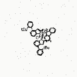 CCCC1=Cc2c(-c3ccccc3C(C)(C)C)cccc2[CH]1[Hf]([Cl])([Cl])([c]1cccc2c1[SiH2]c1ccccc1-2)[CH]1C(CCC)=Cc2c(-c3ccccc3C(C)(C)C)cccc21